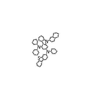 c1ccc(N(c2ccc3c(c2)sc2ccccc23)c2cc(N(c3ccccc3)c3ccccc3)c3c4ccccc4n(-c4ccc5ccccc5c4)c3c2)cc1